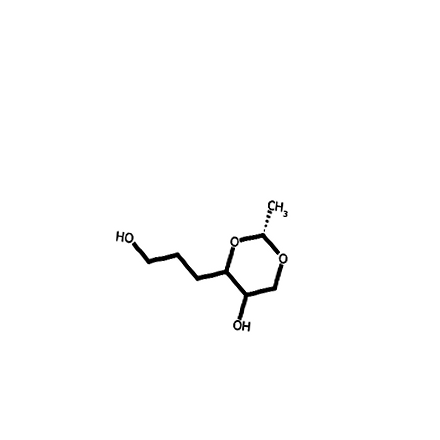 C[C@@H]1OCC(O)C(CCCO)O1